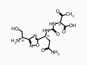 CC(=O)[C@H](NC(=O)N[C@@H](CC(N)=O)c1nc([C@@H](N)CO)no1)C(=O)O